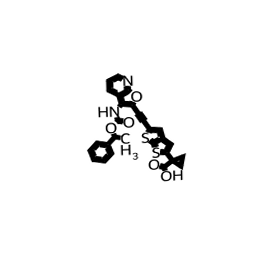 CC(OC(=O)Nc1c(C#Cc2cc3cc(C4(C(=O)O)CC4)sc3s2)oc2ncccc12)c1ccccc1